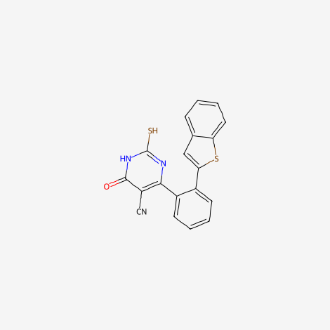 N#Cc1c(-c2ccccc2-c2cc3ccccc3s2)nc(S)[nH]c1=O